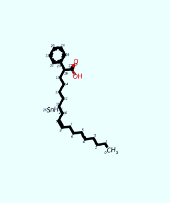 CCCCCCCC/C=C\CCCCCCC(C(=O)O)c1ccccc1.[SnH2]